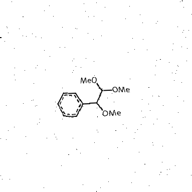 CO[C](OC)C(OC)c1ccccc1